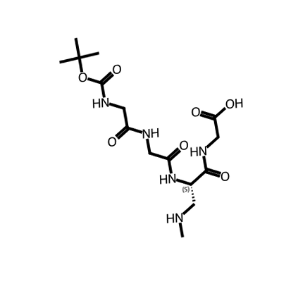 CNC[C@H](NC(=O)CNC(=O)CNC(=O)OC(C)(C)C)C(=O)NCC(=O)O